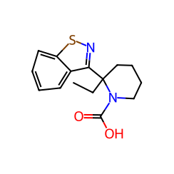 CCC1(c2nsc3ccccc23)CCCCN1C(=O)O